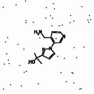 CC(C)(O)c1ccn(-c2cnccc2CN)n1